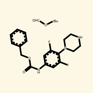 CC(C)(C)OC=O.O=C(Nc1cc(F)c(N2CCNCC2)c(F)c1)OCc1ccccc1